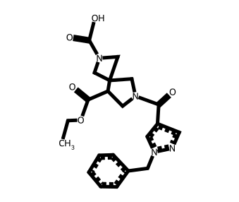 CCOC(=O)C1CN(C(=O)c2cnn(Cc3ccccc3)c2)CC12CN(C(=O)O)C2